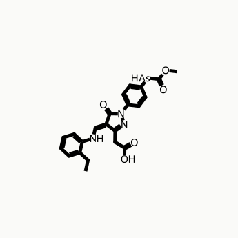 CCc1ccccc1NC=C1C(=O)N(c2ccc([AsH]C(=O)OC)cc2)N=C1CC(=O)O